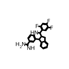 N=C(N)c1ccc2c(c1)C1c3ccccc3CC1C(c1cc(F)c(F)cc1F)N2